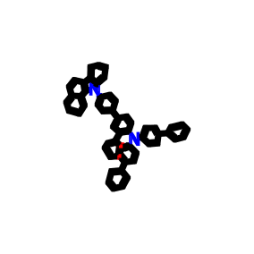 c1ccc(-c2ccc(N(c3ccc(-c4ccccc4)cc3)c3ccc(-c4ccc(-n5c6ccccc6c6ccc7ccccc7c65)cc4)cc3-c3ccccc3)cc2)cc1